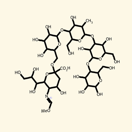 CO/C=N/C1C(O)CC(OCC2OC(OC3C(CO)OC(OC4C(O)C(CO)OC(OC5C(CO)OC(O)C(O)C5O)C4O)C(C)C3O)C(O)C(O)C2O)(C(=O)O)OC1C(O)C(O)CO